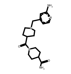 NC(=O)C1CCN(C(=O)C2CCN(Cc3ccnc(N)c3)CC2)CC1